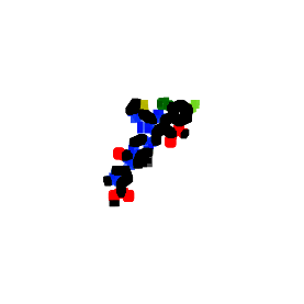 COC(=O)C1=C(CN2CCN3C(=O)N([C@H]4C[C@H](C(=O)OC)N(C)C4)C[C@@H]3C2)NC(c2nccs2)=NC1c1ccc(F)cc1Cl